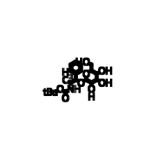 CC(NC(=O)OC(C)(C)C)C(OC1OC(CO)C(O)C(O)C1O)c1ccccc1